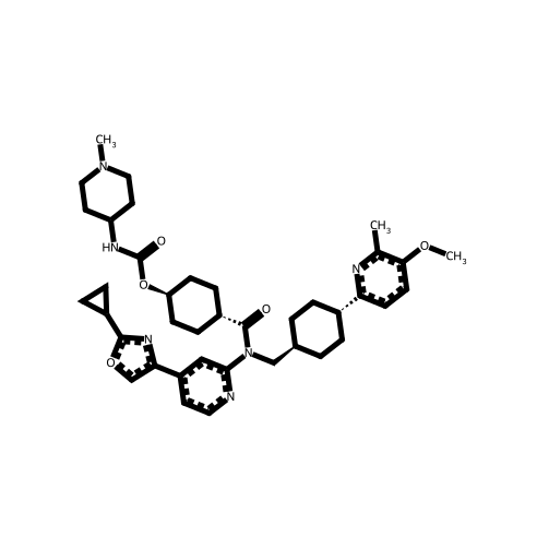 COc1ccc([C@H]2CC[C@H](CN(c3cc(-c4coc(C5CC5)n4)ccn3)C(=O)[C@H]3CC[C@H](OC(=O)NC4CCN(C)CC4)CC3)CC2)nc1C